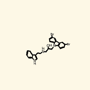 OC(CNCCc1c[nH]c2ccccc12)Cn1c2ccc(Br)cc2c2cc(Br)ccc21